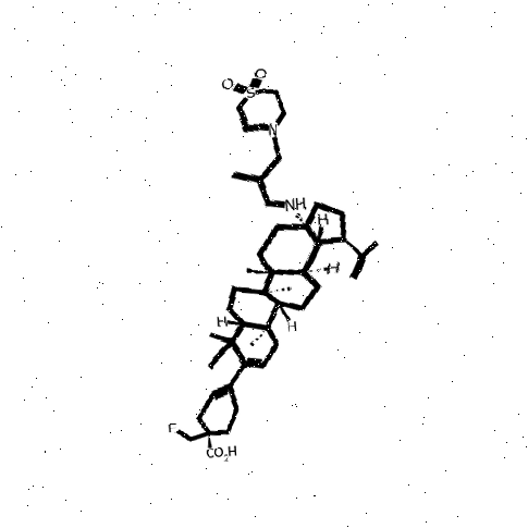 C=C(C)[C@@H]1CC[C@]2(NCC(C)CN3CCS(=O)(=O)CC3)CC[C@]3(C)[C@H](CC[C@@H]4[C@@]5(C)CC=C(C6=CC[C@](CF)(C(=O)O)CC6)C(C)(C)[C@@H]5CC[C@]43C)[C@@H]12